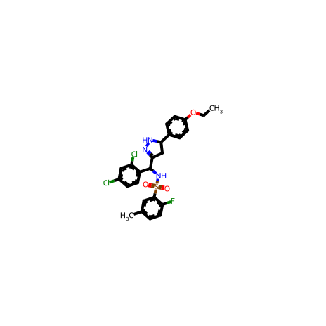 CCOc1ccc(C2CC(C(NS(=O)(=O)c3cc(C)ccc3F)c3ccc(Cl)cc3Cl)=NN2)cc1